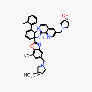 Cc1ccccc1C1=CC=CC(Nc2nccc3cc(CN4CC[C@@H](O)C4)cnc23)(c2nc3cc(CN4CC[C@@H](C(=O)O)C4)cc(C#N)c3o2)C1C